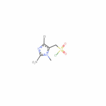 CCc1nc([N+](=O)[O-])n(C)c1CS(=O)(=O)Cl